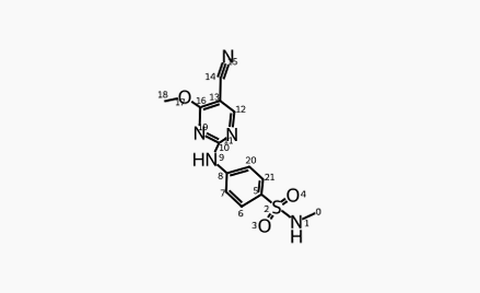 CNS(=O)(=O)c1ccc(Nc2ncc(C#N)c(OC)n2)cc1